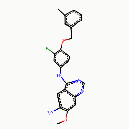 COc1cc2ncnc(Nc3ccc(OCc4cccc(C)c4)c(F)c3)c2cc1N